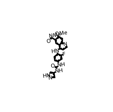 CNC(=O)c1cc2c(Nc3ccc(NC(=O)Nc4cn[nH]c4)cc3F)ccnc2cc1OC